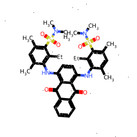 CCc1c(Nc2ccc(Nc3c(C)cc(C)c(S(=O)(=O)N(C)C)c3CC)c3c2C(=O)c2ccccc2C3=O)c(C)cc(C)c1S(=O)(=O)N(C)C